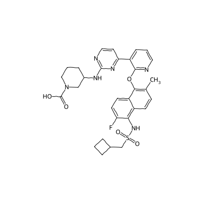 Cc1ccc2c(NS(=O)(=O)CC3CCC3)c(F)ccc2c1Oc1ncccc1-c1ccnc(NC2CCCN(C(=O)O)C2)n1